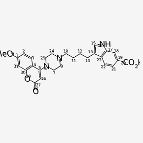 COc1ccc2c(N3CCN(CCCCc4c[nH]c5cc(C(=O)O)ccc45)CC3)cc(=O)oc2c1